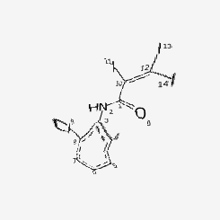 O=C(Nc1ccccc1Cl)C(I)=C(I)I